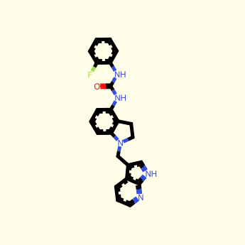 O=C(Nc1ccccc1F)Nc1cccc2c1CCN2Cc1c[nH]c2ncccc12